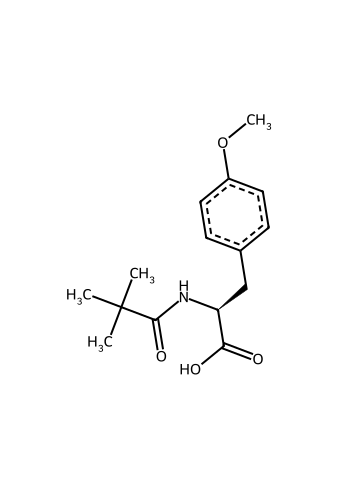 COc1ccc(C[C@H](NC(=O)C(C)(C)C)C(=O)O)cc1